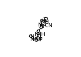 Cc1cccnc1[C@@H]1CCC[C@H](c2nc3cc(-c4ccc5nc(CCN6[C@@H](c7cn8ccccc8n7)CCC[C@H]6c6ncccc6C)[nH]c5c4)ccn3c2CCC#N)N1